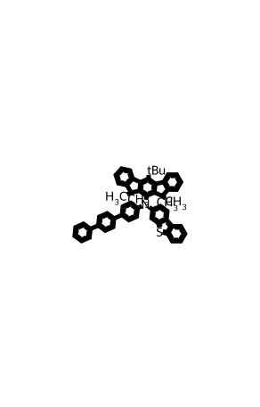 CC(C)(C)c1c2c(c(N(c3ccc(-c4ccc(-c5ccccc5)cc4)cc3)c3ccc4c(c3)sc3ccccc34)c3c1-c1ccccc1C3(C)C)C(C)(C)c1ccccc1-2